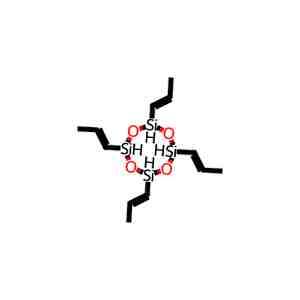 CC=C[SiH]1O[SiH](C=CC)O[SiH](C=CC)O[SiH](C=CC)O1